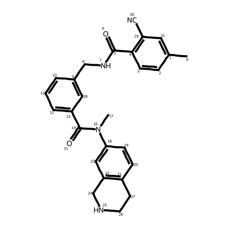 Cc1ccc(C(=O)NCc2cccc(C(=O)N(C)c3ccc4c(c3)CNCC4)c2)c(C#N)c1